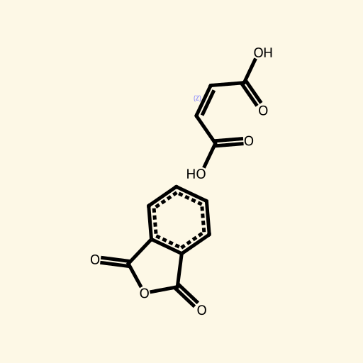 O=C(O)/C=C\C(=O)O.O=C1OC(=O)c2ccccc21